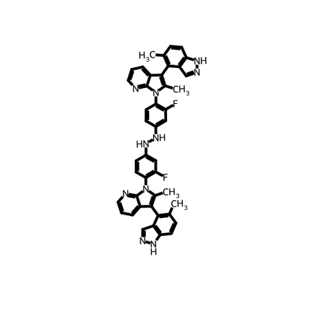 Cc1ccc2[nH]ncc2c1-c1c(C)n(-c2ccc(NNc3ccc(-n4c(C)c(-c5c(C)ccc6[nH]ncc56)c5cccnc54)c(F)c3)cc2F)c2ncccc12